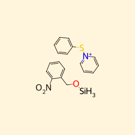 O=[N+]([O-])c1ccccc1CO[SiH3].c1ccc(S[n+]2ccccc2)cc1